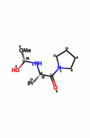 CO[C@@H](O)N[C@H](C(=O)N1CCCC1)C(C)C